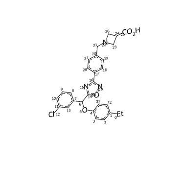 CCc1ccc(OC(c2cccc(Cl)c2)c2nc(-c3ccc(CN4CC(C(=O)O)C4)cc3)no2)cc1